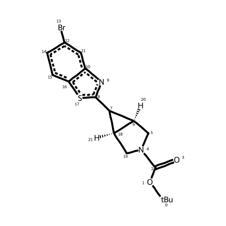 CC(C)(C)OC(=O)N1C[C@@H]2C(c3nc4cc(Br)ccc4s3)[C@@H]2C1